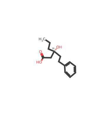 CCC[C@@](O)(CCc1ccccc1)CC(=O)O